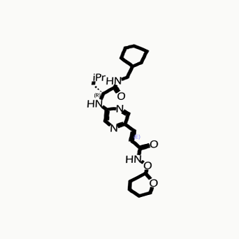 CC(C)C[C@@H](Nc1cnc(/C=C/C(=O)NOC2CCCCO2)cn1)C(=O)NCC1CCCCC1